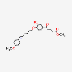 COC(=O)CCCC(=O)c1ccc(OCCCC/C=C/c2ccc(OC)cc2)c(O)c1